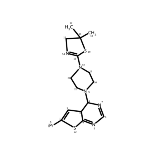 CC(C)C1=CC2C(=NC=NC2N2CCN(C3=NCC(C)(C)S3)CC2)S1